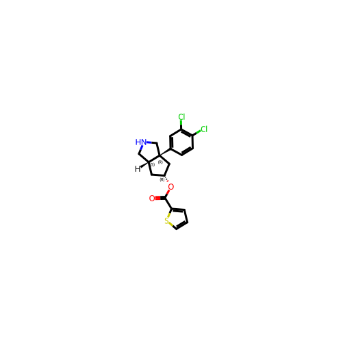 O=C(O[C@@H]1C[C@@H]2CNC[C@]2(c2ccc(Cl)c(Cl)c2)C1)c1cccs1